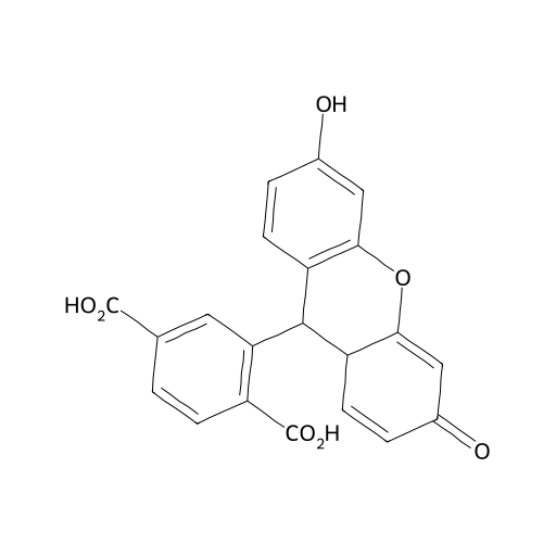 O=C1C=CC2C(=C1)Oc1cc(O)ccc1C2c1cc(C(=O)O)ccc1C(=O)O